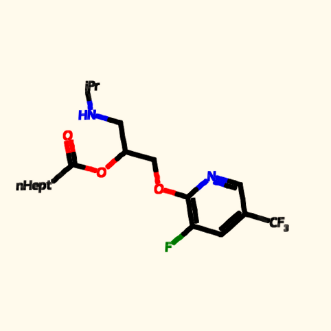 CCCCCCCC(=O)OC(CNC(C)C)COc1ncc(C(F)(F)F)cc1F